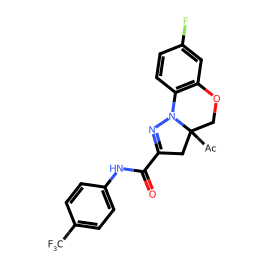 [CH2]C(=O)C12COc3cc(F)ccc3N1N=C(C(=O)Nc1ccc(C(F)(F)F)cc1)C2